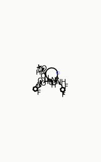 CC(C)(C)OC(=O)NC1CCCCC/C=C\C2CC2(C(=O)NCCc2ccc(F)cc2F)NC(=O)[C@@H]2CC(OC(=O)N3Cc4cccc(F)c4C3)CN2C1=O